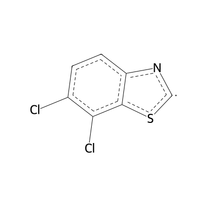 Clc1ccc2n[c]sc2c1Cl